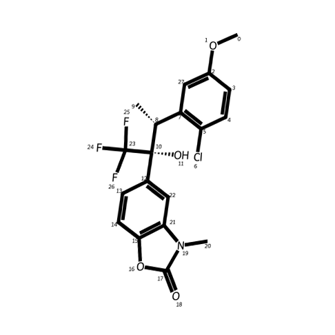 COc1ccc(Cl)c([C@@H](C)[C@@](O)(c2ccc3oc(=O)n(C)c3c2)C(F)(F)F)c1